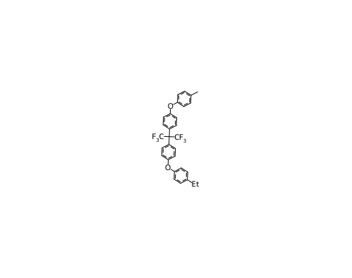 CCc1ccc(Oc2ccc(C(c3ccc(Oc4ccc(C)cc4)cc3)(C(F)(F)F)C(F)(F)F)cc2)cc1